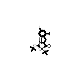 CC(C)(C)OC(=O)NC(Cc1ccc(I)cc1I)C(=O)OC(C)(C)C